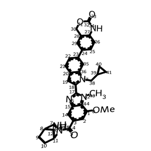 COc1cc(C(=O)N2CC3CCC2[C@@H]3N)cc2nc(-c3cc4ccc(-c5ccc6c(c5)COC(=O)N6)cc4n3CC3CC3)n(C)c12